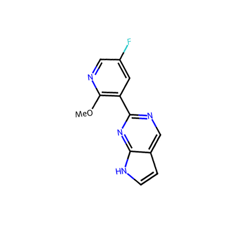 COc1ncc(F)cc1-c1ncc2cc[nH]c2n1